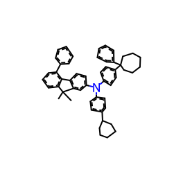 CC1(C)c2cc(N(c3ccc(C4CCCCC4)cc3)c3ccc(C4(c5ccccc5)CCCCCC4)cc3)ccc2-c2c(-c3ccccc3)cccc21